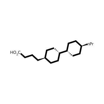 CCC[C@H]1CC[C@H]([C@H]2CC[C@H](CCCC(=O)O)CC2)CC1